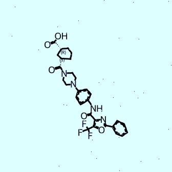 O=C(Nc1ccc(N2CCN(C(=O)[C@H]3CCC[C@@H](C(=O)O)C3)CC2)cc1)c1nc(-c2ccccc2)oc1C(F)(F)F